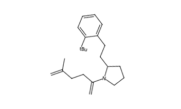 C=C(C)CCC(=C)N1CCCC1CCc1ccccc1C(C)(C)C